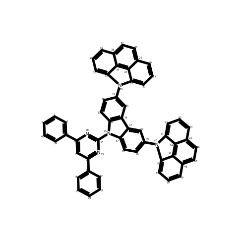 c1ccc(-c2cc(-c3ccccc3)nc(-n3c4ccc(-n5c6cccc7ccc8cccc5c8c76)cc4c4cc(-n5c6cccc7ccc8cccc5c8c76)ccc43)n2)cc1